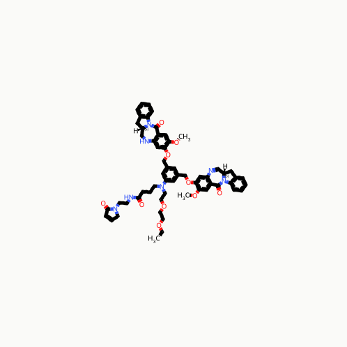 CCOCCOCCN(CCCC(=O)NCCN1CC=CC1=O)c1cc(COc2cc3c(cc2OC)C(=O)N2c4ccccc4C[C@H]2C=N3)cc(COc2cc3c(cc2OC)C(=O)N2c4ccccc4C[C@H]2CN3)c1